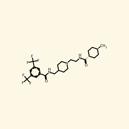 C[C@H]1CC[C@H](C(=O)NCCN2CCC(CNC(=O)c3cc(C(F)(F)F)cc(C(F)(F)F)c3)CC2)CC1